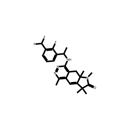 Cc1nnc(NC(C)c2cccc(C(F)F)c2F)c2c1C=C1C(C)(C)C(=O)N(C)C1(C)C2